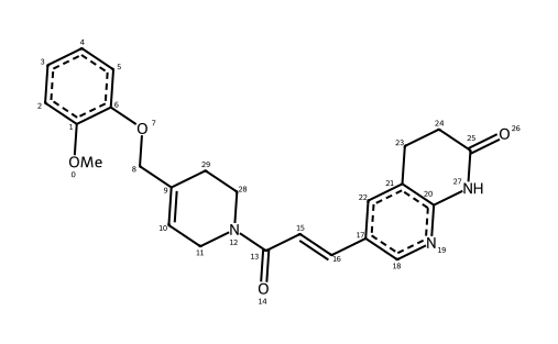 COc1ccccc1OCC1=CCN(C(=O)C=Cc2cnc3c(c2)CCC(=O)N3)CC1